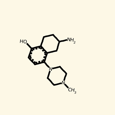 CN1CCN(c2ccc(O)c3c2CC(N)CC3)CC1